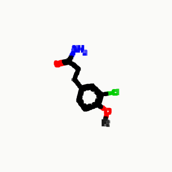 CCOc1ccc([CH]CC(N)=O)cc1Cl